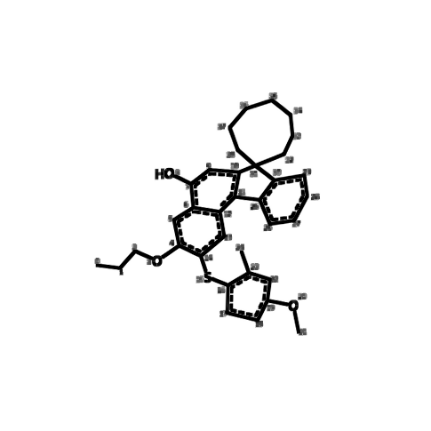 CCCOc1cc2c(O)cc3c(c2cc1Sc1ccc(OC)cc1C)-c1ccccc1C31CCCCCCC1